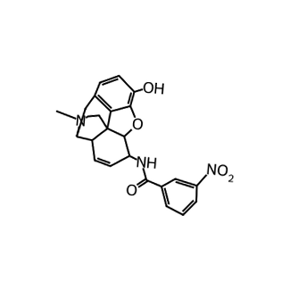 CN1CCC23c4c5ccc(O)c4OC2C(NC(=O)c2cccc([N+](=O)[O-])c2)C=CC3C1C5